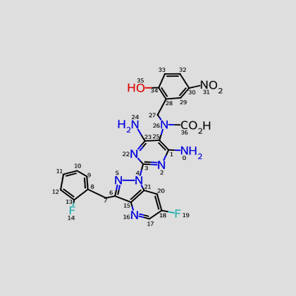 Nc1nc(-n2nc(Cc3ccccc3F)c3ncc(F)cc32)nc(N)c1N(Cc1cc([N+](=O)[O-])ccc1O)C(=O)O